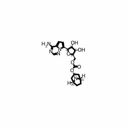 CN1[C@@H]2CC[C@H]1C[C@@H](OC(=O)OC[C@H]1O[C@@H](c3ccc4c(N)ncnn34)[C@H](O)[C@@H]1O)C2